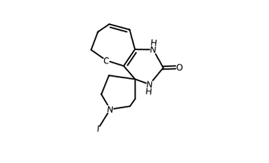 O=C1NC2=C(CCCC=C2)C2(CCN(I)CC2)N1